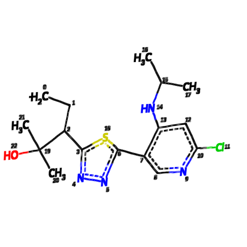 [CH2]CC(c1nnc(-c2cnc(Cl)cc2NC(C)C)s1)C(C)(C)O